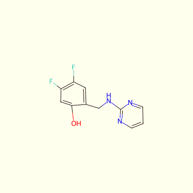 Oc1cc(F)c(F)cc1CNc1ncccn1